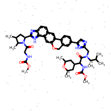 COC(=O)NCC(=O)N1C(c2nc3ccc4cc5c(cc4c3[nH]2)OCc2cc(-c3cnc(CN(C(=O)C(NC(=O)OC)C4CC(C)O[C@H](C)C4)[C@@H](C)C(C)C)[nH]3)ccc2-5)CC(C)C1C